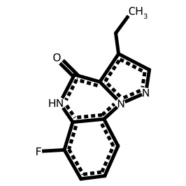 CCc1cnn2c1c(=O)[nH]c1c(F)cccc12